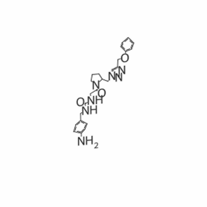 Nc1ccc(CNC(=O)NCC(=O)N2CCCC2Cn2cc(COc3ccccc3)nn2)cc1